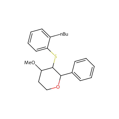 CCCCc1ccccc1SC1C(OC)CCOC1c1ccccc1